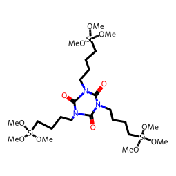 CO[Si](CCCCn1c(=O)n(CCCC[Si](OC)(OC)OC)c(=O)n(CCCC[Si](OC)(OC)OC)c1=O)(OC)OC